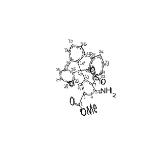 COC(=O)c1cc(N)c(S(C)(=O)=O)c(C(c2ccccc2)(c2ccccc2)c2ccccc2)c1Cl